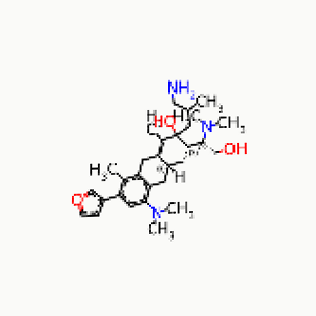 CC1=C2Cc3c(C)c(-c4ccoc4)cc(N(C)C)c3C[C@H]2C[C@@H]([C@@H](CO)N(C)C)C1(O)CC(C)CN